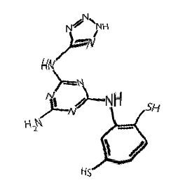 Nc1nc(Nc2nn[nH]n2)nc(Nc2cc(S)ccc2S)n1